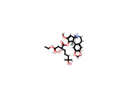 CCOC(=O)C[C@](O)(CCCC(C)(C)O)C(=O)OC1C(OC)=CC23CCCN2CCc2cc4c(cc2[C@H]13)OCO4